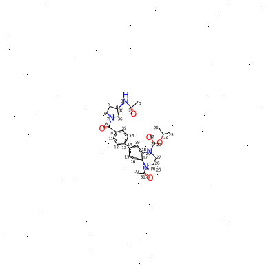 CC(=O)N[C@@H]1CCN(C(=O)c2ccc(-c3ccc4c(c3)N(C(=O)OC(C)C)C[C@H](C)N4C(C)=O)cc2)C1